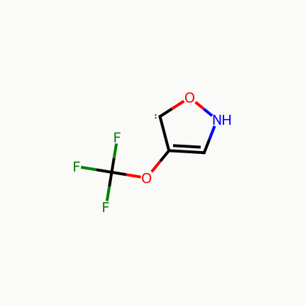 FC(F)(F)OC1=CNO[C]1